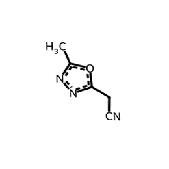 Cc1nnc(CC#N)o1